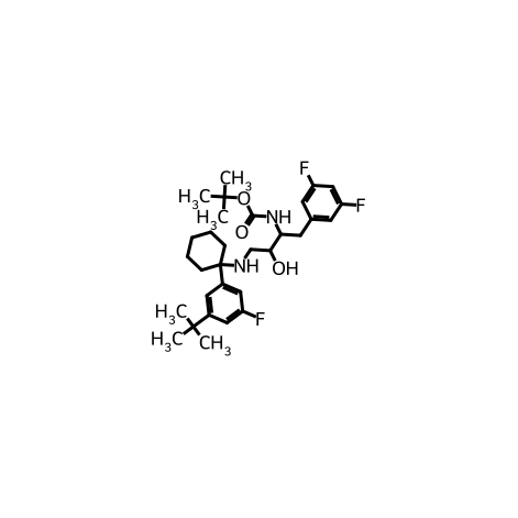 CC(C)(C)OC(=O)NC(Cc1cc(F)cc(F)c1)C(O)CNC1(c2cc(F)cc(C(C)(C)C)c2)CCCCC1